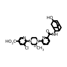 C[C@@H]1CN(c2ncc(C(=O)O)cc2Cl)CCN1c1cccc(C(=O)NC2C3CC4CC2CC(O)(C4)C3)n1